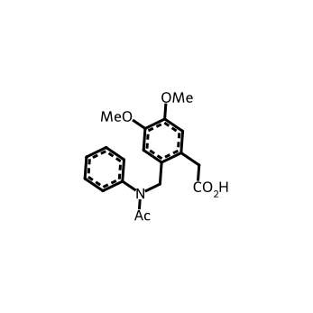 COc1cc(CC(=O)O)c(CN(C(C)=O)c2ccccc2)cc1OC